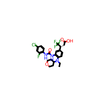 CCN(c1ccc([C@@H](CC(=O)O)C(F)(F)F)cc1NC(=O)Nc1ccc(Cl)cc1F)C1CCOCC1